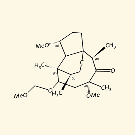 COCOC1C[C@@](C)(OC)C(=O)[C@H](C)C23CC[C@@H](C)[C@]1(C)C2[C@H](OC)CC3